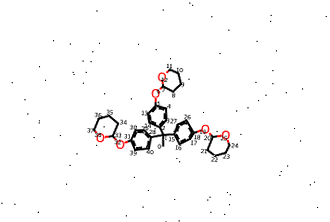 CC(c1ccc(OC2CCCCO2)cc1)(c1ccc(OC2CCCCO2)cc1)c1ccc(OC2CCCCO2)cc1